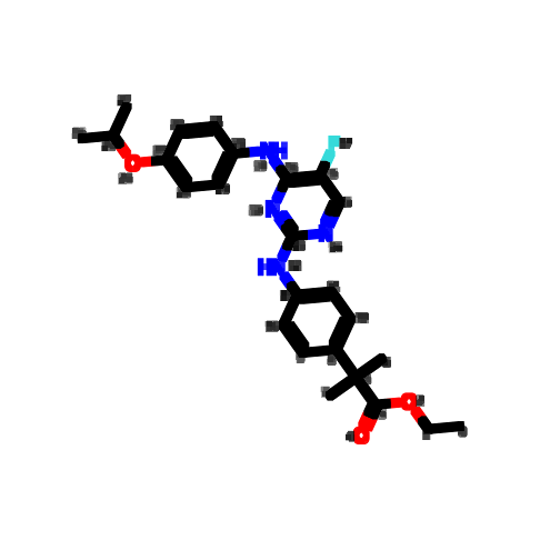 CCOC(=O)C(C)(C)c1ccc(Nc2ncc(F)c(Nc3ccc(OC(C)C)cc3)n2)cc1